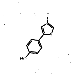 Oc1ccc(-c2cc(F)cs2)cc1